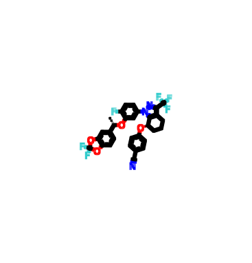 C[C@H](Oc1cc(-n2nc(C(F)(F)F)c3c2[C@@H](Oc2ccc(C#N)cc2)CCC3)ccc1F)c1ccc2c(c1)OC(F)(F)O2